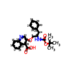 CC(C)(C)OC(=O)NC(COc1cnc2ccccc2c1C(=O)O)Cc1ccccc1